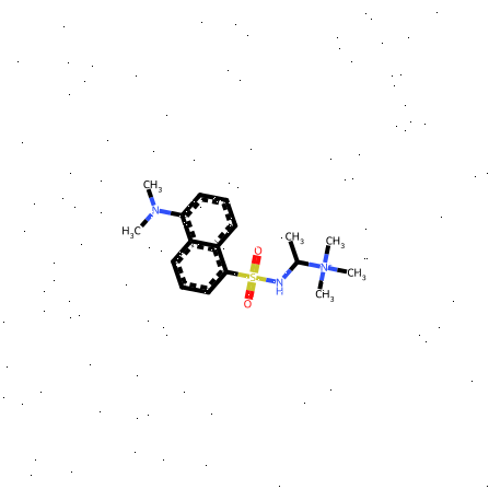 CC(NS(=O)(=O)c1cccc2c(N(C)C)cccc12)[N+](C)(C)C